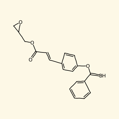 B=C(Oc1ccc(/C=C/C(=O)OCC2CO2)cc1)c1ccccc1